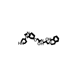 O=C(COc1ccc2ncn(C3CCNCC3)c2c1)NCC(O)CN1CCc2ccccc2C1